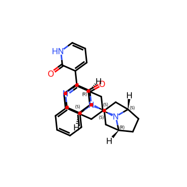 O=c1[nH]cccc1-c1nc2ccccc2n([C@@H]2C[C@H]3CC[C@@H](C2)N3[C@@H]2C[C@@H]3CCC[C@@H](C3)C2)c1=O